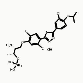 CC(C)Oc1ccc(-c2nnc(-c3cc(F)c(OC[C@@H](N)[C@@H](C)OP(=O)(O)O)cc3Cl)s2)cc1Cl.Cl